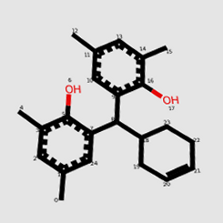 Cc1cc(C)c(O)c(C(c2cc(C)cc(C)c2O)C2CC=CCC2)c1